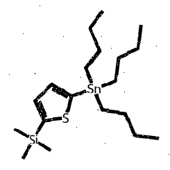 CCC[CH2][Sn]([CH2]CCC)([CH2]CCC)[c]1ccc([Si](C)(C)C)s1